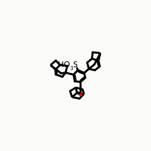 O=S(=O)(O)c1c(C23CC=C4C(CC4C2)C3)cc(C2=C3C4CC(C2)CC3C4)cc1C12CC=C3C(CC3C1)C2